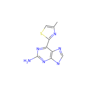 Cc1csc(-c2nc(N)nc3c2N=C[N]3)n1